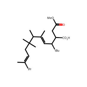 COC(=O)CC(C(=O)O)C(/C=C(\C)C(C)C(C)(C)C/C=C(\C)C(C)C)C(C)(C)C